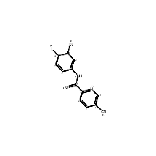 CCC1C=C(NC(=O)c2ccc(C#N)cn2)C=CC1F